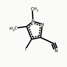 Cc1c(I)c(C#N)nn1C